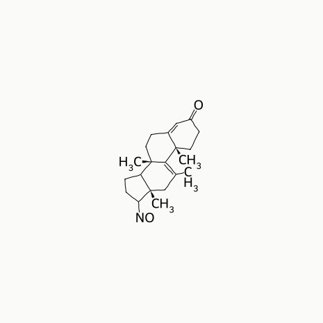 CC1=C2[C@@]3(C)CCC(=O)C=C3CC[C@@]2(C)C2CCC(N=O)[C@@]2(C)C1